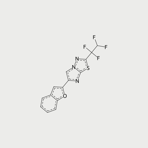 FC(F)C(F)(F)c1nn2cc(-c3cc4ccccc4o3)nc2s1